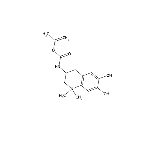 C=C(C)OC(=O)NC1Cc2cc(O)c(O)cc2[N+](C)(C)C1